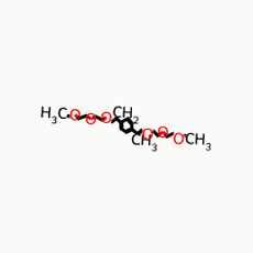 C=C(COCCOCCOCC)c1ccc(C(C)=COCCOCCOCC)cc1